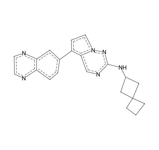 c1cnc2cc(-c3ccn4nc(NC5CC6(CCC6)C5)ncc34)ccc2n1